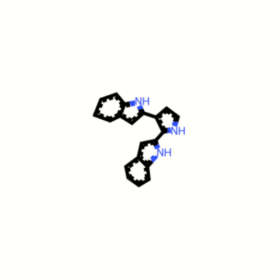 c1ccc2[nH]c(-c3cc[nH]c3-c3cc4ccccc4[nH]3)cc2c1